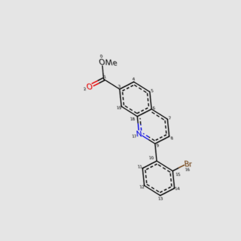 COC(=O)c1ccc2ccc(-c3ccccc3Br)nc2c1